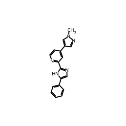 Cn1cc(-c2ccnc(-c3ncc(-c4ccccc4)[nH]3)c2)cn1